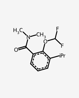 CC(C)c1cccc(C(=O)N(C)C)c1OC(F)F